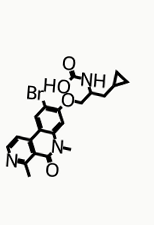 Cc1nccc2c1c(=O)n(C)c1cc(OCC(CC3CC3)NC(=O)O)c(Br)cc21